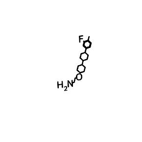 Cc1ccc(C2CCC(C3CCC(OCCN)CC3)CC2)cc1F